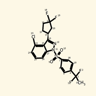 CC(F)(F)c1ccc(S(=O)(=O)n2nc([C@H]3CCC(F)(F)C3)c3c(Cl)cccc32)cc1